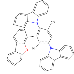 N#Cc1cc(-n2c3ccccc3c3ccccc32)c(C#N)c(-c2cccc3c2oc2ccccc23)c1-n1c2ccccc2c2ccccc21